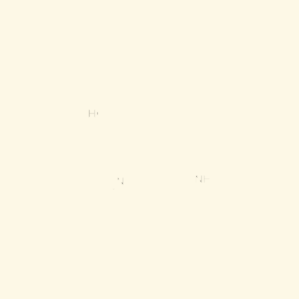 C#C/C=C\C=C(\CN)CC=N